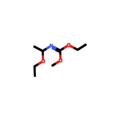 CCOC(=NC(C)OCC)OC